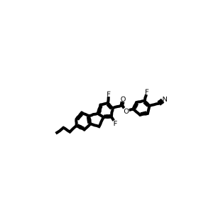 CCCc1ccc2c(c1)Cc1c-2cc(F)c(C(=O)Oc2ccc(C#N)c(F)c2)c1F